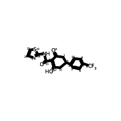 O=C1CC(c2ccc(C(F)(F)F)cc2)CC(O)=C1C(=O)Nc1nccs1